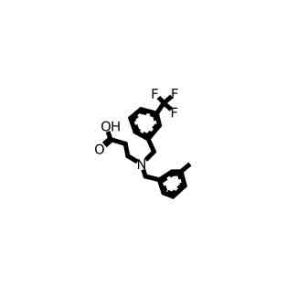 Cc1cccc(CN(CCC(=O)O)Cc2cccc(C(F)(F)F)c2)c1